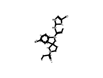 CC=C(NC1NC=C(Cl)S1)N1CC2(CCN(C(=O)CC)C2)c2cc(Br)ccc21